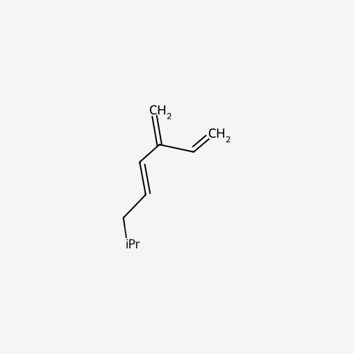 C=CC(=C)C=CCC(C)C